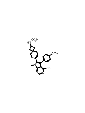 COc1ccc(-c2c(C3=CCC4(CC3)CC(NC(=O)O)C4)n(C)c3ncnc(N)c23)cc1